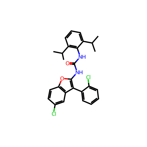 CC(C)c1cccc(C(C)C)c1NC(=O)Nc1oc2ccc(Cl)cc2c1-c1ccccc1Cl